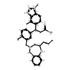 CCCC1CN(Cc2cc(C(CC(=O)O)c3ccc4c(nnn4C)c3C)ccc2C)Cc2ccccc2O1